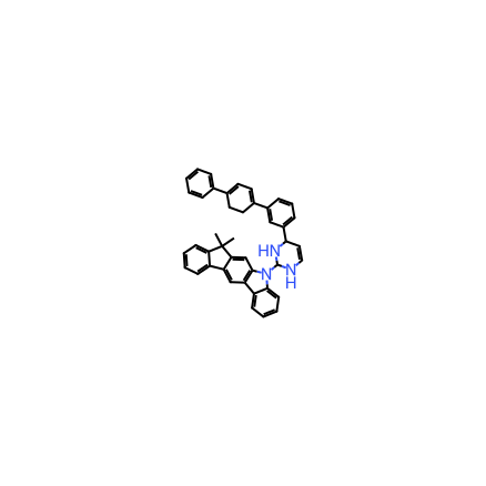 CC1(C)c2ccccc2-c2cc3c4ccccc4n(C4NC=CC(c5cccc(C6=CC=C(c7ccccc7)CC6)c5)N4)c3cc21